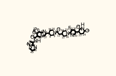 CC(C)Oc1cc2nc(C3CCN(C(=O)CC4CCN(c5ncc(C6CCC(=O)NC6=O)cc5F)CC4)CC3)cn2cc1C(=O)Nc1cnn2cccnc12